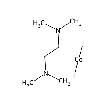 CN(C)CCN(C)C.[I][Co][I]